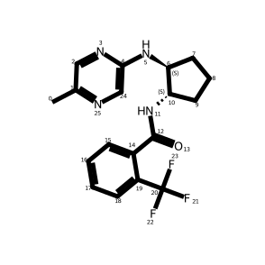 Cc1cnc(N[C@H]2CCC[C@@H]2NC(=O)c2ccccc2C(F)(F)F)cn1